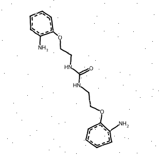 Nc1ccccc1OCCNC(=O)NCCOc1ccccc1N